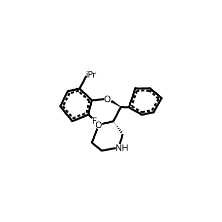 CC(C)c1cccc(F)c1O[C@@H](c1ccccc1)[C@@H]1CNCCO1